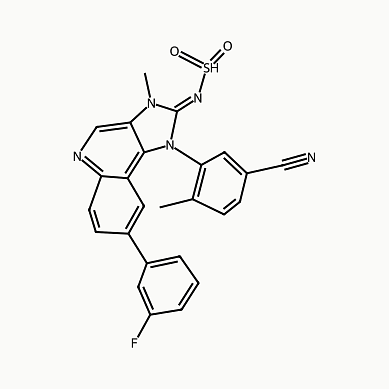 Cc1ccc(C#N)cc1-n1c(=N[SH](=O)=O)n(C)c2cnc3ccc(-c4cccc(F)c4)cc3c21